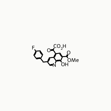 COC(=O)c1cc(C(=O)C(=O)O)c2cc(Cc3ccc(F)cc3)cnc2c1O